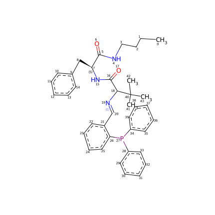 CCCCNC(=O)[C@H](Cc1ccccc1)NC(=O)C(/N=C/c1ccccc1P(c1ccccc1)c1ccccc1)C(C)(C)C